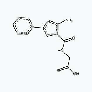 Nc1sc(-c2ccccc2)cc1C(=O)NCC(=O)O